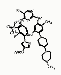 COc1cnn(-c2ccc(Nc3nc(Nc4cc(OC)c(N5CCC(N6CCN(C)CC6)CC5)cc4C)ncc3Br)c(P(C)(C)=O)c2F)c1